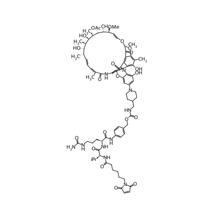 CO[C@H]1/C=C/O[C@@]2(C)Oc3c(C)c(O)c4c(=O)c(c5oc6cc(N7CCC(CNC(=O)OCc8ccc(NC(=O)[C@H](CCCNC(N)=O)NC(=O)[C@@H](NC(=O)CCCCCN9C(=O)C=CC9=O)C(C)C)cc8)CC7)cc(O)c6nc-5c4c3C2=O)NC(=O)/C(C)=C\C=C\[C@H](C)[C@H](O)[C@@H](C)[C@@H](O)[C@@H](C)[C@H](OC(C)=O)[C@@H]1C